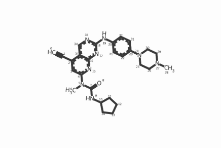 C#Cc1cc(N(C)C(=O)NC2CCCC2)nc2nc(Nc3ccc(N4CCN(C)CC4)cc3)ncc12